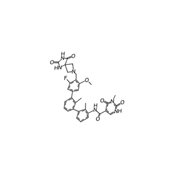 COc1cc(-c2cccc(-c3cccc(NC(=O)c4c[nH]c(=O)n(C)c4=O)c3C)c2C)cc(F)c1CN1CC2(C1)NC(=O)NC2=O